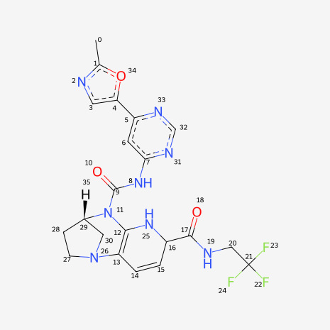 Cc1ncc(-c2cc(NC(=O)N3C4=C(C=CC(C(=O)NCC(F)(F)F)N4)N4CC[C@H]3C4)ncn2)o1